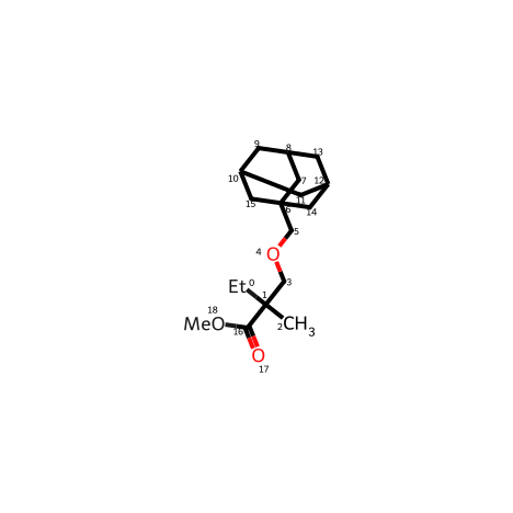 CCC(C)(COCC12CC3CC(CC(C3)C1)C2)C(=O)OC